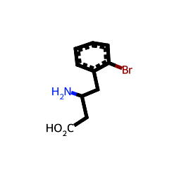 NC(CC(=O)O)Cc1ccccc1Br